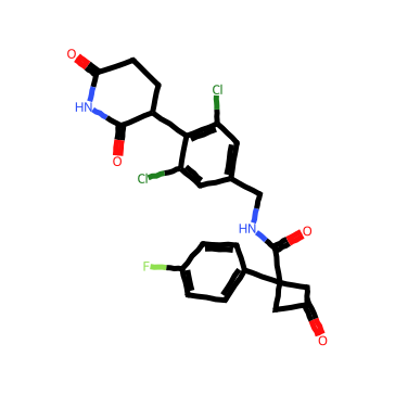 O=C1CC(C(=O)NCc2cc(Cl)c(C3CCC(=O)NC3=O)c(Cl)c2)(c2ccc(F)cc2)C1